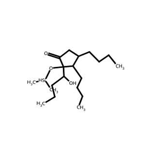 CCCCC1CC(=O)C(O[SiH](C)C)(C(O)CCC)C1CCCC